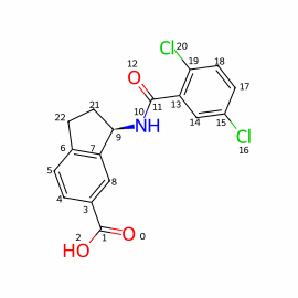 O=C(O)c1ccc2c(c1)[C@H](NC(=O)c1cc(Cl)ccc1Cl)CC2